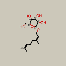 CC(C)=CCC/C(C)=C\CO[C@@H]1O[C@H](CO)[C@@H](O)[C@H](O)[C@H]1O